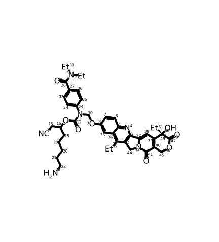 CCc1c2c(nc3ccc(OCN(C(=O)OC(CC#N)CCCCCN)c4ccc(C(=O)N(CC)CC)cc4)cc13)-c1cc3c(c(=O)n1C2)COC(=O)[C@]3(O)CC